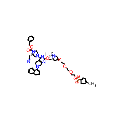 Cc1ccc(S(=O)(=O)OCCOCCOCCO[C@@H]2C[C@@H](COc3nc4c(c(N5CCN(C(=O)OCc6ccccc6)[C@@H](CC#N)C5)n3)CCN(c3cccc5ccccc35)C4)N(C)C2)cc1